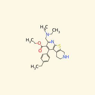 CCOC(=O)c1c(CN(CC)CC)nc2sc3c(c2c1-c1ccc(CC)cc1)CCNC3